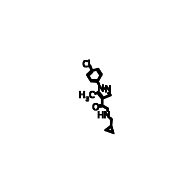 Cc1c(C(=O)CNCC2CC2)cnn1-c1ccc(Cl)cc1